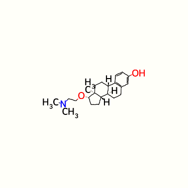 CN(C)CCO[C@H]1CC[C@H]2[C@@H]3CCc4cc(O)ccc4[C@H]3CC[C@]12C